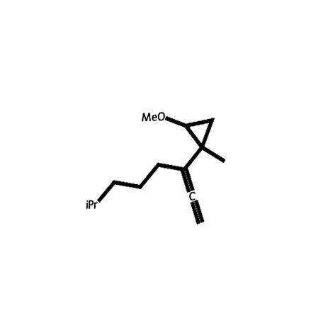 C=C=C(CCCC(C)C)C1(C)CC1OC